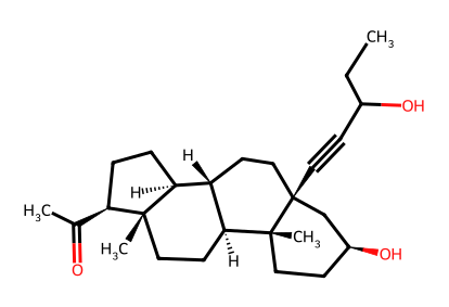 CCC(O)C#C[C@]12CC[C@H]3[C@@H]4CC[C@H](C(C)=O)[C@@]4(C)CC[C@@H]3[C@@]1(C)CC[C@H](O)C2